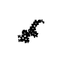 C[C@H](c1cc2ccccn2c1-c1ccc(CN2CCN(C)CC2)cn1)n1nc(-c2cc(O)cc(F)c2)c2c(N)ncnc21